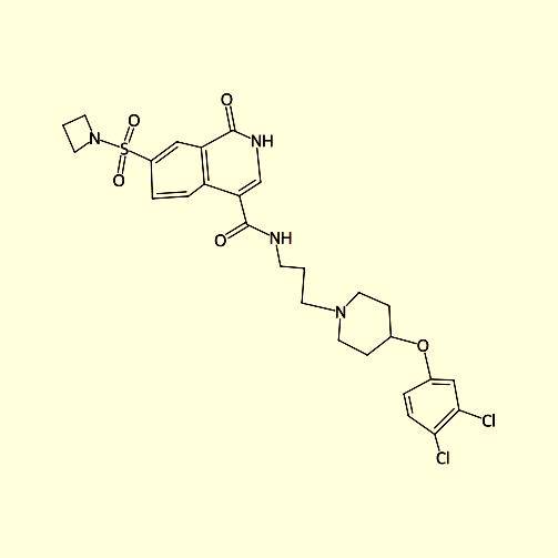 O=C(NCCCN1CCC(Oc2ccc(Cl)c(Cl)c2)CC1)c1c[nH]c(=O)c2cc(S(=O)(=O)N3CCC3)ccc12